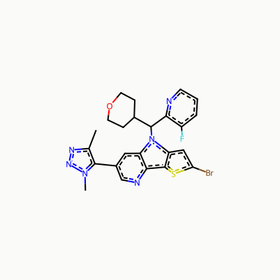 Cc1nnn(C)c1-c1cnc2c3sc(Br)cc3n(C(c3ncccc3F)C3CCOCC3)c2c1